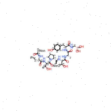 C=C(N[C@H](C(=O)N[C@@H](C)C(=O)N[C@@H](Cc1ccc(O)cc1)C(=O)NCB(O)O)C(O)OC)[C@H]1CCCN1C(=O)C(NC(=O)[C@H](CC(C)C)NC(=O)CCCCCCCCC)C(C)O